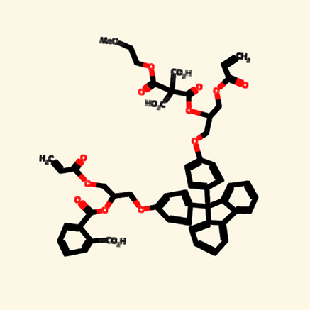 C=CC(=O)OCC(COc1ccc(C2(c3ccc(OCC(COC(=O)C=C)OC(=O)C(C(=O)O)(C(=O)O)C(=O)OCCOC)cc3)c3ccccc3-c3ccccc32)cc1)OC(=O)c1ccccc1C(=O)O